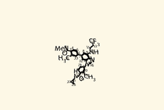 CNC(=O)c1ccc(-c2cc(NCCC(F)(F)F)c3ncn(-c4ccc(C(=O)NC5CC5)c(C)c4)c3c2)cc1C